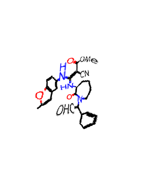 COC(=O)/C(C#N)=C(\Nc1ccc2oc(C)cc2c1)N[C@H]1CCCCN(C(C=O)c2ccccc2)C1=O